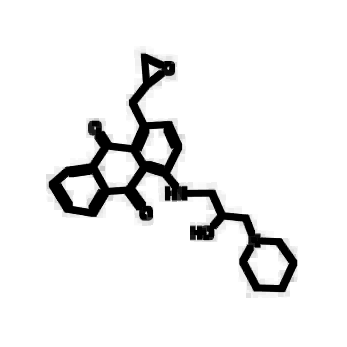 O=C1c2ccccc2C(=O)c2c(NCC(O)CN3CCCCC3)ccc(CC3CO3)c21